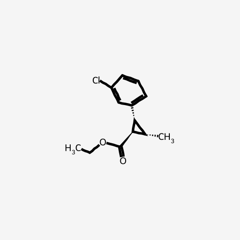 CCOC(=O)[C@@H]1[C@@H](C)[C@H]1c1cccc(Cl)c1